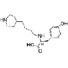 O=C(O)[C@H](Cc1ccc(O)cc1)NCCCCC1CCNCC1